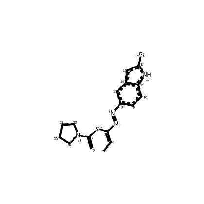 C=C(SC(=C\C)/N=N/c1ccc2[nH]c(CC)cc2c1)N1CCCC1